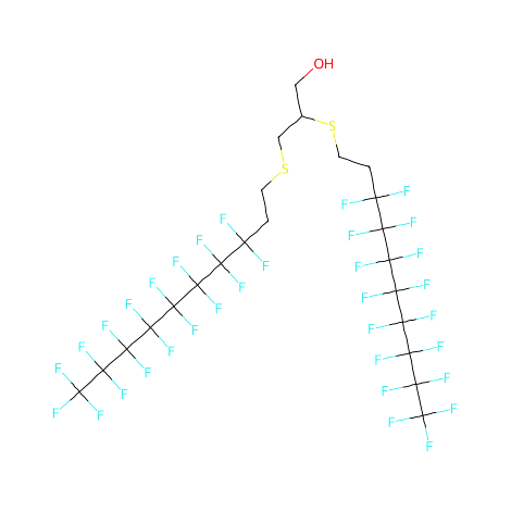 OCC(CSCCC(F)(F)C(F)(F)C(F)(F)C(F)(F)C(F)(F)C(F)(F)C(F)(F)C(F)(F)F)SCCC(F)(F)C(F)(F)C(F)(F)C(F)(F)C(F)(F)C(F)(F)C(F)(F)C(F)(F)F